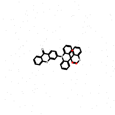 O=c1c2ccccc2sc2cc(N3c4ccccc4C4(c5ccccc5Sc5ccccc54)c4ccccc43)ccc12